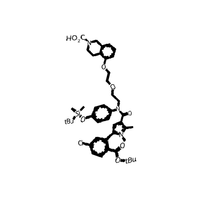 Cc1c(C(=O)N(CCOCCOc2cccc3c2CCN(C(=O)O)C3)c2ccc(O[Si](C)(C)C(C)(C)C)cc2)cc(-c2cc(Cl)ccc2C(=O)OC(C)(C)C)n1C